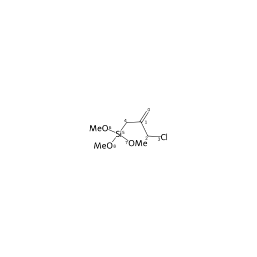 C=C(CCl)C[Si](OC)(OC)OC